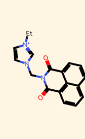 CC[n+]1ccn(CN2C(=O)c3cccc4cccc(c34)C2=O)c1